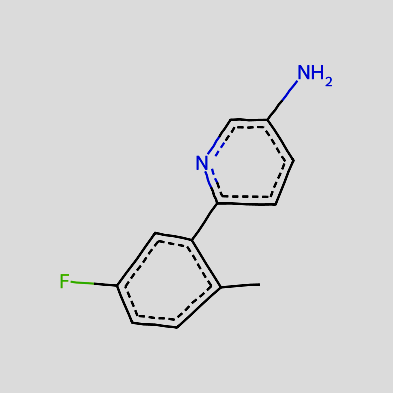 Cc1ccc(F)cc1-c1ccc(N)cn1